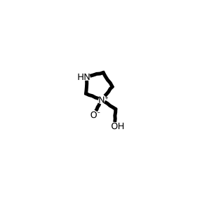 [O-][N+]1(CO)CCNC1